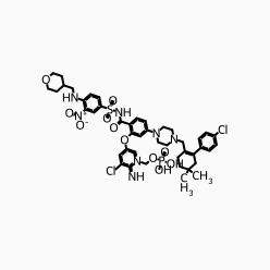 CC1(C)CCC(CN2CCN(c3ccc(C(=O)NS(=O)(=O)c4ccc(NCC5CCOCC5)c([N+](=O)[O-])c4)c(Oc4cc(Cl)c(=N)n(COP(=O)(O)O)c4)c3)CC2)=C(c2ccc(Cl)cc2)C1